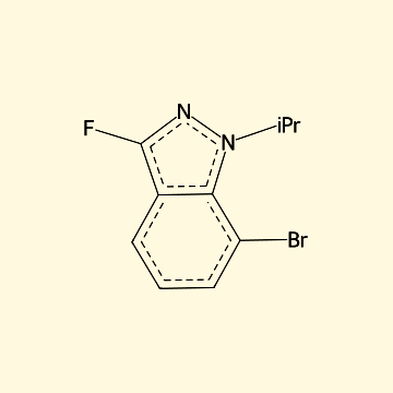 CC(C)n1nc(F)c2cccc(Br)c21